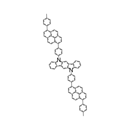 Cc1ccc(-c2ccc3ccc4c(-c5ccc(-n6c7ccccc7c7cc8c(cc76)c6ccccc6n8-c6ccc(-c7ccc8ccc9c(-c%10ccc(C)cc%10)ccc%10ccc7c8c%109)cc6)cc5)ccc5ccc2c3c54)cc1